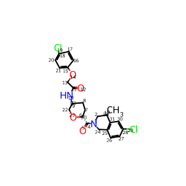 C[C@@H]1CN(C(=O)[C@H]2CC[C@H](NC(=O)COc3ccc(Cl)cc3)CO2)Cc2ccc(Cl)cc21